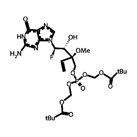 C=C[C@](COP(=O)(OCOC(=O)C(C)(C)C)OCOC(=O)C(C)(C)C)(OC)[C@@H](O)[C@@H](F)n1cnc2c(=O)[nH]c(N)nc21